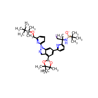 CC(CI)(N[S@+]([O-])C(C)(C)C)c1cccc(-c2cc(B3OC(C)(C)C(C)(C)O3)c3cnn(-c4cccc(CO[Si](C)(C)C(C)(C)C)n4)c3c2)n1